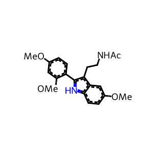 COc1ccc(-c2[nH]c3ccc(OC)cc3c2CCNC(C)=O)c(OC)c1